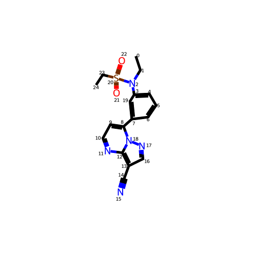 CCN(c1cccc(-c2ccnc3c(C#N)cnn23)c1)S(=O)(=O)CC